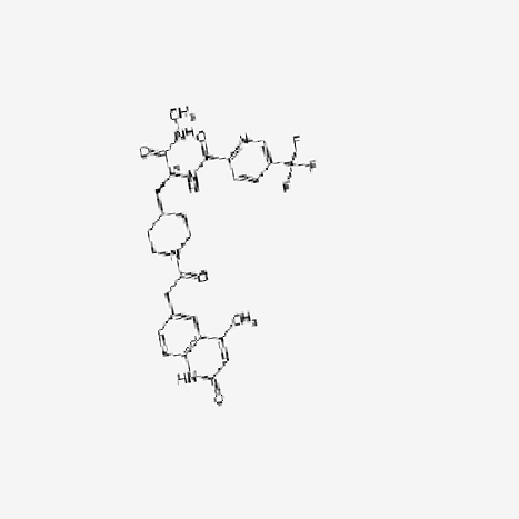 CNC(=O)[C@H](CC1CCN(C(=O)Cc2ccc3[nH]c(=O)cc(C)c3c2)CC1)NC(=O)c1ccc(C(F)(F)F)cn1